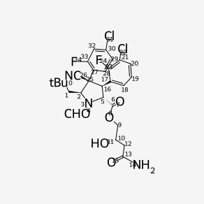 CC(C)(C)C[C@@H]1N(C=O)[C@@H](C(=O)OC[C@@H](O)CC(N)=O)[C@H](c2cccc(Cl)c2F)[C@@]1(C#N)c1ccc(Cl)cc1F